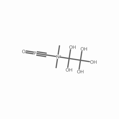 C[N+](C)(C#P=O)C(O)(O)C(O)(O)O